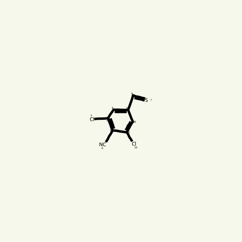 N#Cc1c(Cl)cc(C=S)cc1Cl